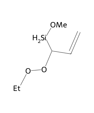 C=CC(OOCC)[SiH2]OC